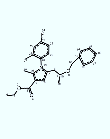 CCOC(=O)c1cc(C[C@H](C)OCc2ccccc2)n(-c2ccc(F)cc2C)c1C